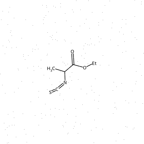 CCOC(=O)C(C)N=C=S